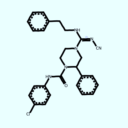 N#C/N=C(/NCCc1ccccc1)N1CCN(C(=O)Nc2ccc(Cl)cc2)C(c2ccccc2)C1